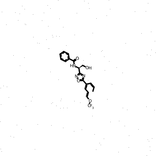 C\C=C/C(=C\C=C\OC(F)(F)F)c1nc([C@H](CO)NC(=O)c2ccccc2)no1